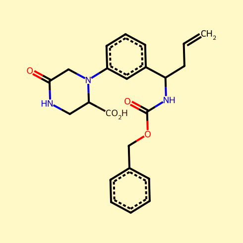 C=CCC(NC(=O)OCc1ccccc1)c1cccc(N2CC(=O)NCC2C(=O)O)c1